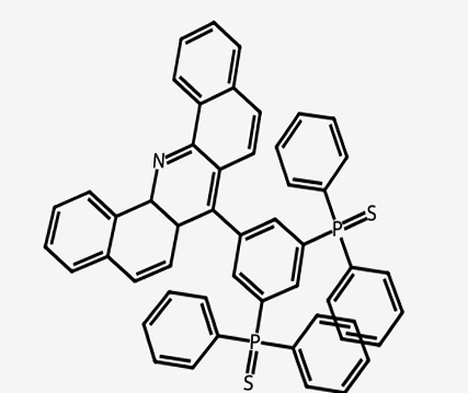 S=P(c1ccccc1)(c1ccccc1)c1cc(C2=c3ccc4ccccc4c3=NC3c4ccccc4C=CC23)cc(P(=S)(c2ccccc2)c2ccccc2)c1